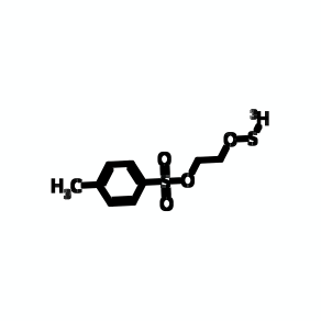 [3H]SOCCOS(=O)(=O)c1ccc(C)cc1